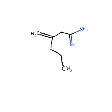 C=C(CCC)CC(=N)N